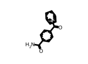 NC(=O)c1ccc(C(=O)n2c3ccc2cc3)cc1